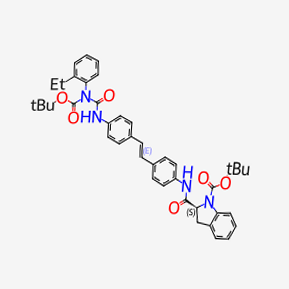 CCc1ccccc1N(C(=O)Nc1ccc(/C=C/c2ccc(NC(=O)[C@@H]3Cc4ccccc4N3C(=O)OC(C)(C)C)cc2)cc1)C(=O)OC(C)(C)C